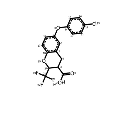 O=C(O)C1Cc2cc(Oc3ccc(Cl)cc3)ccc2OC1C(F)(F)F